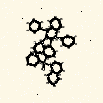 O=P(c1ccccc1)(c1cccc2ccccc12)c1ccc2c3c(cccc13)-c1c-2c(-c2ccccc2)c2ccccc2c1-c1ccccc1